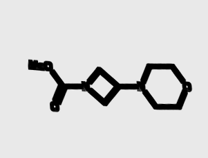 COC(=O)N1CC(N2CCOCC2)C1